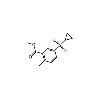 COC(=O)c1cc(S(=O)(=O)C2CC2)ccc1C